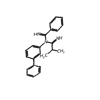 CC(C)C(=N)N(C(=N)c1ccccc1)c1cccc(-c2ccccc2)c1